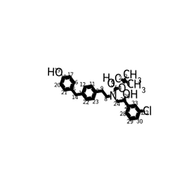 CC(C)(C)OC(=O)N(CCc1ccc(Cc2ccc(O)cc2)cc1)CC(O)c1cccc(Cl)c1